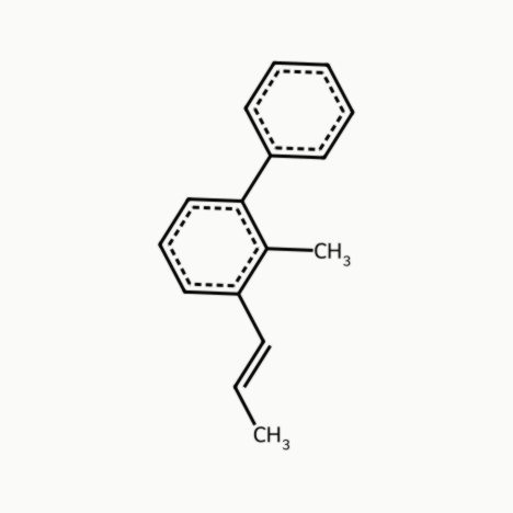 CC=Cc1cccc(-c2ccccc2)c1C